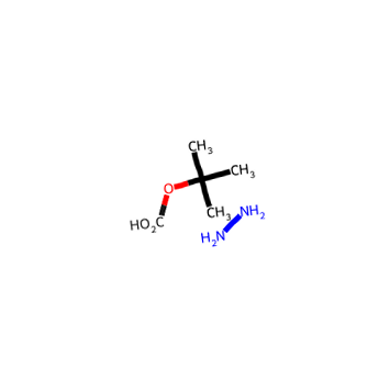 CC(C)(C)OC(=O)O.NN